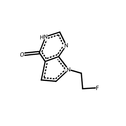 O=c1[nH]cnc2c1ccn2CCF